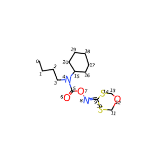 CCCCN(C(=O)ON=C1SCOCS1)C1CCCCC1